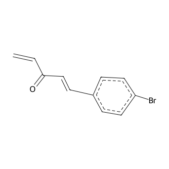 C=CC(=O)C=Cc1ccc(Br)cc1